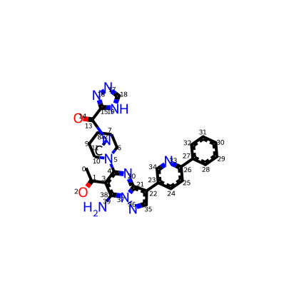 CC(=O)c1c(N2CC3CCC2CN3C(=O)c2nnc[nH]2)nc2c(-c3ccc(-c4ccccc4)nc3)cnn2c1N